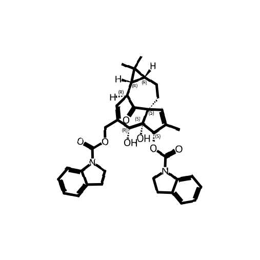 CC1=C[C@@]23CC[C@@H]4[C@H]([C@H](C=C(COC(=O)N5CCc6ccccc65)[C@@H](O)[C@]2(O)[C@H]1OC(=O)N1CCc2ccccc21)C3=O)C4(C)C